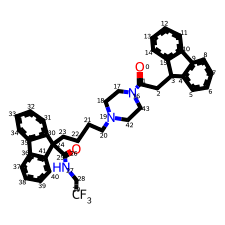 O=C(CC1c2ccccc2-c2ccccc21)N1CCN(CCCCC2(C(=O)NCC(F)(F)F)c3ccccc3-c3ccccc32)CC1